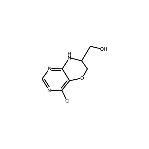 OCC1COc2c(Cl)ncnc2N1